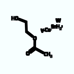 CC(=O)OCCO.[Co].[SnH2].[V].[W]